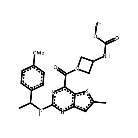 COc1ccc(C(C)Nc2nc(C(=O)N3CC(NC(=O)OC(C)C)C3)c3sc(C)cc3n2)cc1